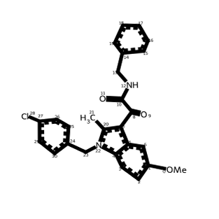 COc1ccc2c(c1)c(C(=O)C(=O)NCc1ccccc1)c(C)n2Cc1ccc(Cl)cc1